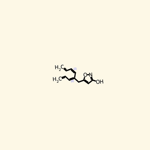 C=C/C=C\C(=C/C=C)Cc1cc(O)no1